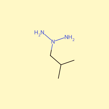 CC(C)CN(N)N